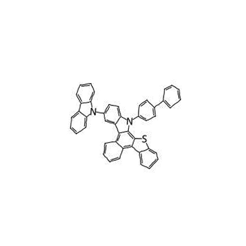 c1ccc(-c2ccc(-n3c4ccc(-n5c6ccccc6c6ccccc65)cc4c4c5ccccc5c5c6ccccc6sc5c43)cc2)cc1